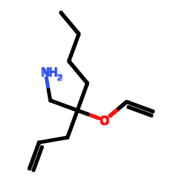 C=CCC(CN)(CCCC)OC=C